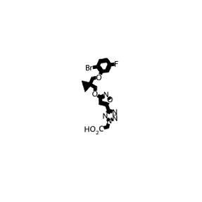 O=C(O)Cn1nnc(-c2cc(OCC3(COc4cc(F)ccc4Br)CC3)no2)n1